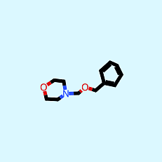 c1ccc(COCN2CCOCC2)cc1